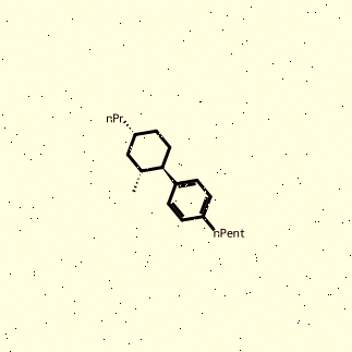 CCCCCc1ccc([C@@H]2CC[C@@H](CCC)C[C@H]2C)cc1